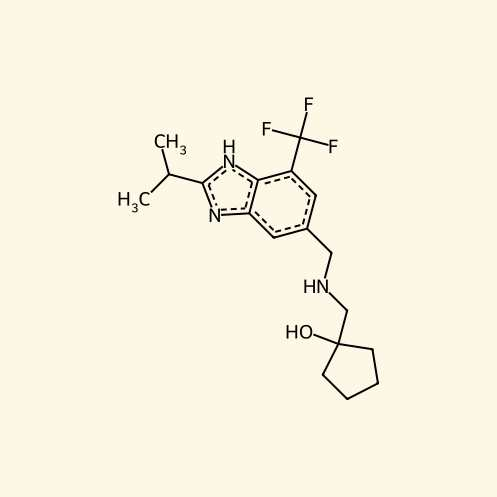 CC(C)c1nc2cc(CNCC3(O)CCCC3)cc(C(F)(F)F)c2[nH]1